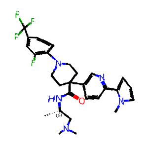 C[C@@H](CN(C)C)NC(=O)C1(c2ccc(-c3cccn3C)nc2)CCN(c2ccc(C(F)(F)F)cc2F)CC1